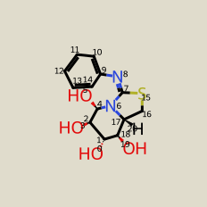 O[C@@H]1[C@@H](O)[C@@H](O)N2/C(=N\c3ccccc3)SC[C@@H]2[C@H]1O